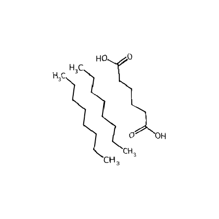 CCCCCCCC.CCCCCCCC.O=C(O)CCCCC(=O)O